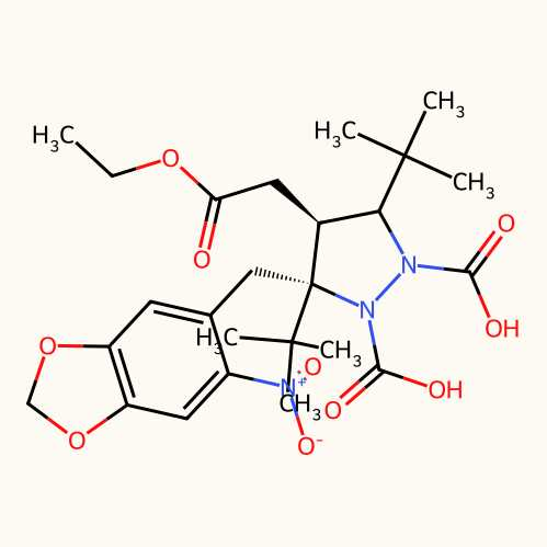 CCOC(=O)C[C@H]1C(C(C)(C)C)N(C(=O)O)N(C(=O)O)[C@@]1(Cc1cc2c(cc1[N+](=O)[O-])OCO2)C(C)(C)C